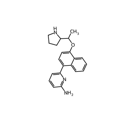 CC(Oc1ccc(-c2cccc(N)n2)c2ccccc12)C1CCCN1